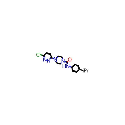 CC(C)c1ccc(NC(=O)N2CCN(c3ccc(Cl)nn3)CC2)cc1